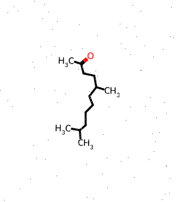 CC(=O)CCC(C)CCCCC(C)C